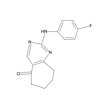 O=C1CCCCc2nc(Nc3ccc(F)cc3)ncc21